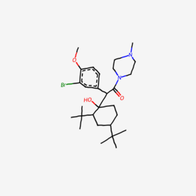 COc1ccc(C(C(=O)N2CCN(C)CC2)C2(O)CCC(C(C)(C)C)CC2C(C)(C)C)cc1Br